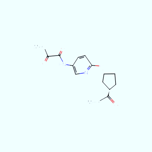 COC(=O)C(=O)Nc1ccc(O[C@@H]2CC[C@@H](C(=O)OC)C2)nc1